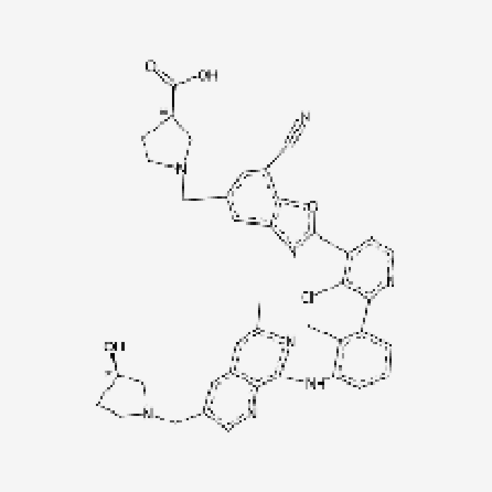 Cc1cc2cc(CN3CC[C@@H](O)C3)cnc2c(Nc2cccc(-c3nccc(-c4nc5cc(CN6CC[C@@H](C(=O)O)C6)cc(C#N)c5o4)c3Cl)c2C)n1